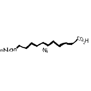 CCCCCCCCCCCCCCCCCC=CC(=O)O.[Ni]